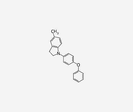 Cc1ccc2c(c1)CCN2c1ccc(Oc2ccccc2)cc1